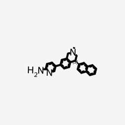 CN1Cc2cc(-c3ccc(N)nc3)ccc2[C@H](c2ccc3ccccc3c2)C1